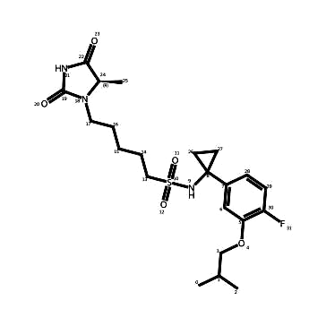 CC(C)COc1cc(C2(NS(=O)(=O)CCCCCN3C(=O)NC(=O)[C@H]3C)CC2)ccc1F